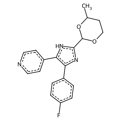 CC1CCOC(c2nc(-c3ccc(F)cc3)c(-c3ccncc3)[nH]2)O1